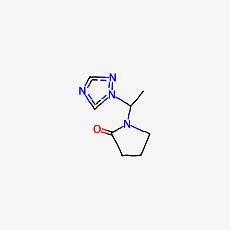 CC(N1CCCC1=O)n1cncn1